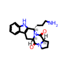 NCCC[C@H]1c2[nH]c3ccccc3c2C[C@H]2C(=O)N3CCC[C@H]3C(=O)N21